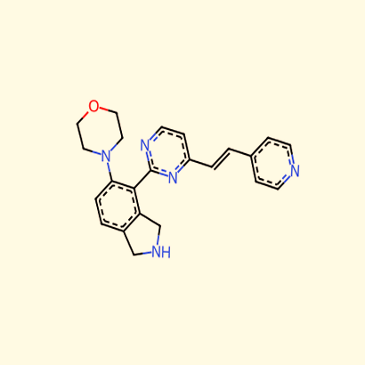 C(=C\c1ccnc(-c2c(N3CCOCC3)ccc3c2CNC3)n1)/c1ccncc1